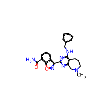 CN1CCCc2c(nc(-c3noc4c(C(N)=O)cccc34)nc2NCc2ccccc2)C1